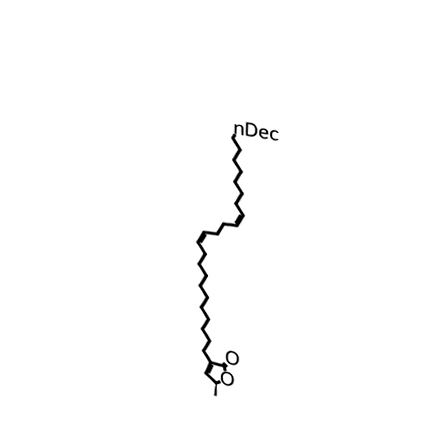 CCCCCCCCCCCCCCCCC/C=C\CC/C=C\CCCCCCCCCCC1=C[C@H](C)OC1=O